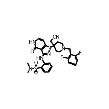 CN(C)S(=O)(=O)c1ccccc1Nc1nn(C2(CC#N)CCN(Cc3c(F)cccc3F)CC2)c2cc[nH]c(=O)c12